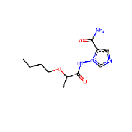 CCCCOC(C)C(=O)Nn1cncc1C(N)=O